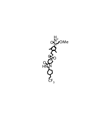 COCCN(C(N)=O)c1cc(C)c(CCS(=O)(=O)N2CCC3(CC2)N=C(C2CCC(CCC(F)(F)F)CC2)NC3=O)c(C)c1